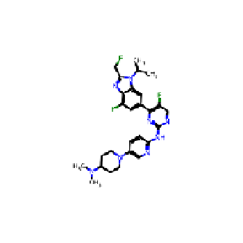 CC(C)n1c(CF)nc2c(F)cc(-c3nc(Nc4ccc(N5CCC(N(C)C)CC5)cn4)ncc3F)cc21